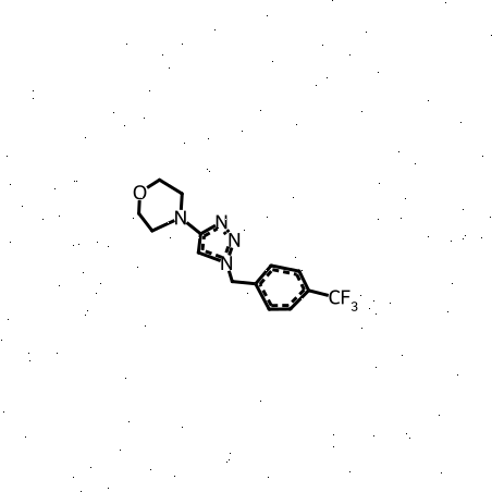 FC(F)(F)c1ccc(Cn2cc(N3CCOCC3)nn2)cc1